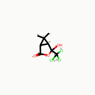 CC1(C)C2C(=O)OC(O)(C(Cl)(Cl)Cl)C21